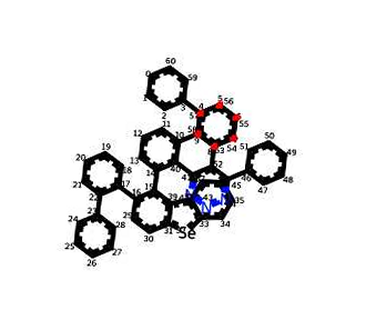 c1ccc(-c2ccccc2-c2cccc(-c3c(-c4ccccc4-c4ccccc4)ccc4[se]c5ccccc5c34)c2-c2nnnc(-c3ccccc3)c2-c2ccccc2)cc1